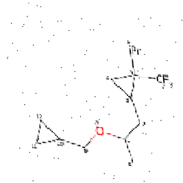 CC(CC1CC1(C(C)C)C(F)(F)F)OCC1CC1